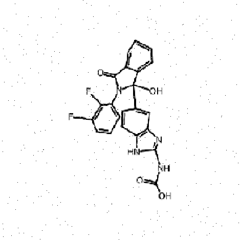 O=C(O)Nc1nc2cc(C3(O)c4ccccc4C(=O)N3c3cccc(F)c3F)ccc2[nH]1